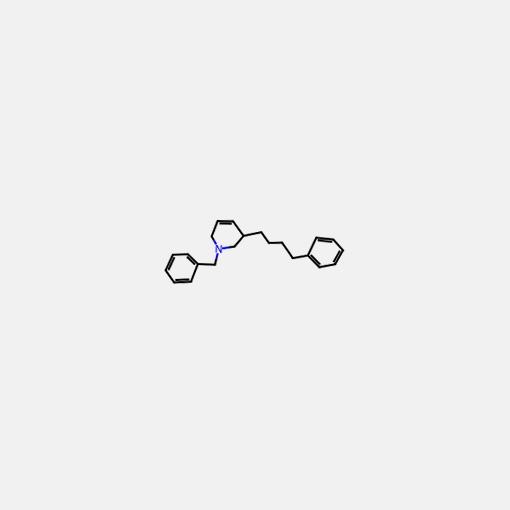 C1=CC(CCCCc2ccccc2)CN(Cc2ccccc2)C1